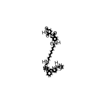 O=C1CCC(N2Cc3cc(NC(=O)CCCCCCCCCNCCn4cc(C5(Cc6cccc(Nc7nccs7)n6)CCCCC5)nn4)ccc3C2=O)C(=O)N1